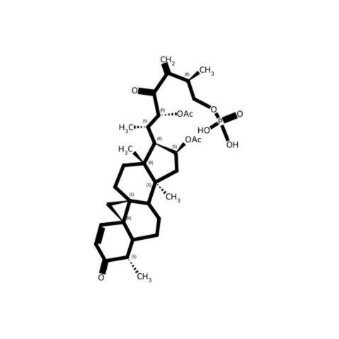 C=C(C(=O)[C@H](OC(C)=O)[C@@H](C)[C@H]1[C@@H](OC(C)=O)C[C@@]2(C)C3CCC4[C@H](C)C(=O)C=C[C@@]45C[C@@]35CC[C@]12C)[C@@H](C)COP(=O)(O)O